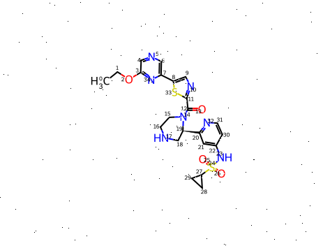 CCOc1cncc(-c2cnc(C(=O)N3CCNC[C@@H]3c3cc(NS(=O)(=O)C4CC4)ccn3)s2)n1